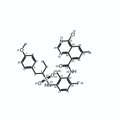 CCC(Cc1ccc(OC)cc1)S(=O)(=O)Nc1ccc(F)c(NC(=O)c2cc(C)cc3c(Cl)ncnc23)c1Cl